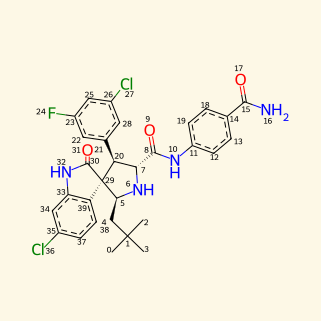 CC(C)(C)C[C@@H]1N[C@@H](C(=O)Nc2ccc(C(N)=O)cc2)[C@H](c2cc(F)cc(Cl)c2)[C@]12C(=O)Nc1cc(Cl)ccc12